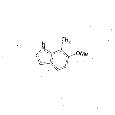 COc1ccc2c[c][nH]c2c1C